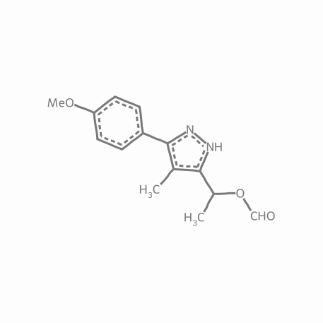 COc1ccc(-c2n[nH]c(C(C)OC=O)c2C)cc1